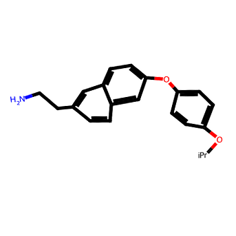 CC(C)Oc1ccc(Oc2ccc3cc(CCN)ccc3c2)cc1